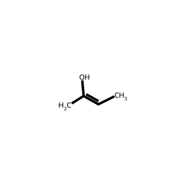 [CH2]C(O)=CC